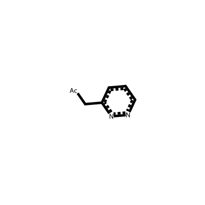 CC(=O)Cc1cccnn1